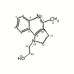 Cc1nc2ccccc2c2c1CCN2CCO